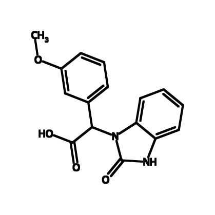 COc1cccc(C(C(=O)O)n2c(=O)[nH]c3ccccc32)c1